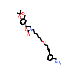 CC1(C)OCc2cc([C@@H]3CN(CCCCCCOCCC#Cc4cccc(CN)c4)C(=O)O3)ccc2O1